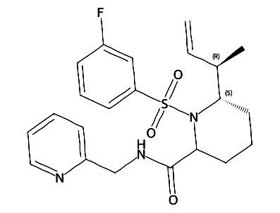 C=C[C@@H](C)[C@@H]1CCCC(C(=O)NCc2ccccn2)N1S(=O)(=O)c1cccc(F)c1